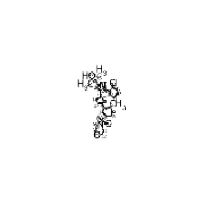 Cc1ccc(S(=O)(=O)N2CCOCC2)cc1-c1ccc(-c2cc(C(C)(C)O)nn2-c2ccccc2Cl)s1